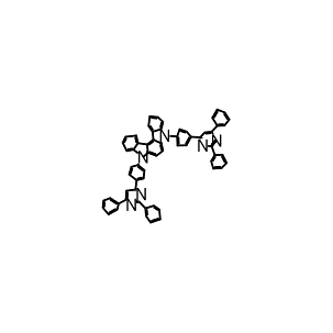 c1ccc(-c2cc(-c3ccc(-n4c5ccccc5c5c6c7ccccc7n(-c7ccc(-c8cc(-c9ccccc9)nc(-c9ccccc9)n8)cc7)c6ccc54)cc3)nc(-c3ccccc3)n2)cc1